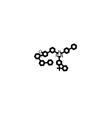 CC1(C)c2ccccc2-c2cc(-c3nc(-c4ccc(-c5ccccc5)cc4)nc(-c4cccc(-c5ccc6c(c5)oc5cccc(-c7cccc(-c8ccccc8)c7)c56)c4)n3)ccc21